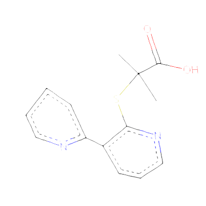 CC(C)(Sc1ncccc1-c1ccccn1)C(=O)O